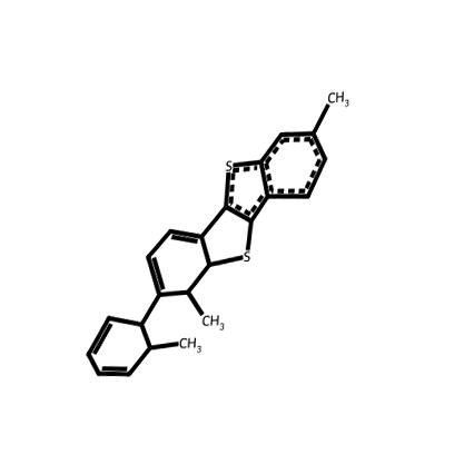 Cc1ccc2c3c(sc2c1)C1=CC=C(C2C=CC=CC2C)C(C)C1S3